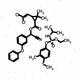 CC1(C)C(C=C(Cl)Cl)C1C(=O)OC(C#N)c1cccc(Oc2ccccc2)c1.CCOP(=O)(NC(C)C)Oc1ccc(SC)c(C)c1